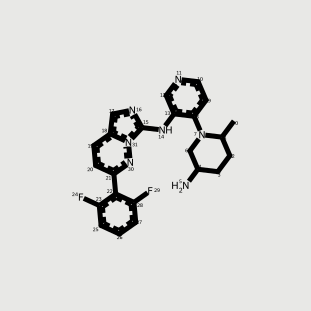 CC1CCC(N)CN1c1ccncc1Nc1ncc2ccc(-c3c(F)cccc3F)nn12